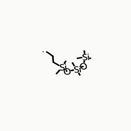 [CH2]CC[Si](C)(C)O[Si](C)(C)O[Si](C)(C)C